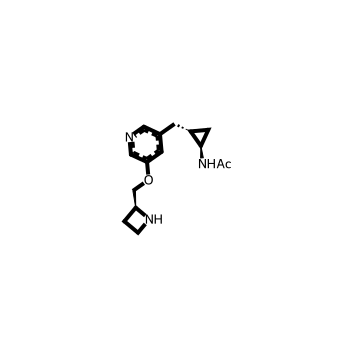 CC(=O)N[C@@H]1C[C@H]1Cc1cncc(OC[C@@H]2CCN2)c1